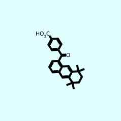 CC1(C)CCC(C)(C)c2cc3c(C(=O)c4ccc(C(=O)O)cc4)cccc3cc21